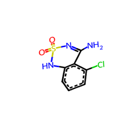 NC1=NS(=O)(=O)Nc2cccc(Cl)c21